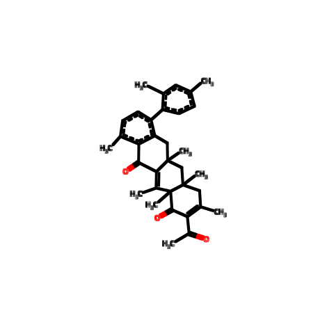 CC(=O)C1=C(C)CC2(C)CC3(C)Cc4c(-c5ccc(C)cc5C)ccc(C)c4C(=O)C3=C(C)C2(C)C1=O